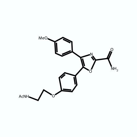 COc1ccc(-c2nc(C(N)=O)oc2-c2ccc(OCCNC(C)=O)cc2)cc1